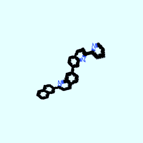 c1ccc(-c2ccc3ccc(-c4ccc5ccc(-c6ccc7ccccc7c6)nc5c4)cc3n2)nc1